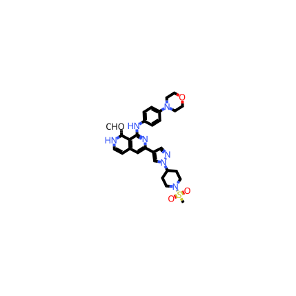 CS(=O)(=O)N1CCC(n2cc(-c3cc4c(c(Nc5ccc(N6CCOCC6)cc5)n3)C(C=O)NC=C4)cn2)CC1